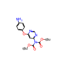 CC(C)(C)OC(=O)N(C(=O)OC(C)(C)C)c1cc(Oc2ccc(N)cc2)ncn1